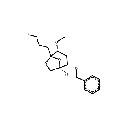 CO[C@@H]1C[C@H](OCc2ccccc2)[C@H]2COC1(CCCF)O2